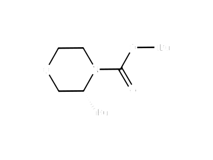 CCC(C)[C@@H]1COCCN1C(=O)OC(C)(C)C